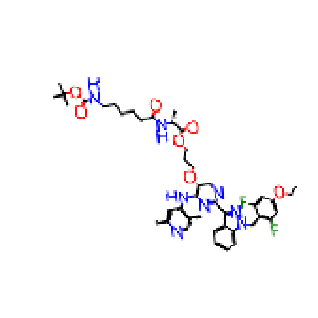 CCOc1cc(F)c(Cn2nc(-c3ncc(OCCCOC(=O)[C@H](C)NC(=O)CCCCCNC(=O)OC(C)(C)C)c(Nc4cc(C)ncc4C)n3)c3ccccc32)c(F)c1